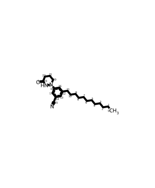 CCCCCCCCCCCCc1cc(C#N)cc(N2CCCC(=O)N2)c1